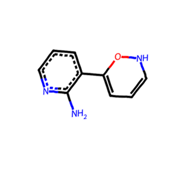 Nc1ncccc1C1=CC=CNO1